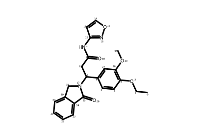 CCOc1ccc(C(CC(=O)Nc2ccon2)N2Cc3ccccc3C2=O)cc1OC